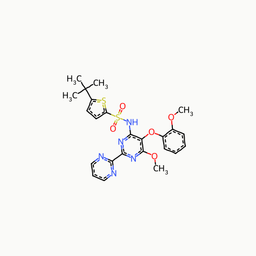 COc1ccccc1Oc1c(NS(=O)(=O)c2ccc(C(C)(C)C)s2)nc(-c2ncccn2)nc1OC